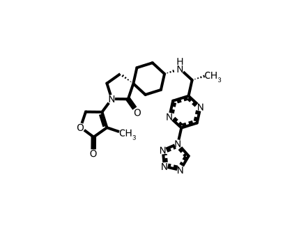 CC1=C(N2CC[C@]3(CC[C@@H](N[C@H](C)c4cnc(-n5cnnn5)cn4)CC3)C2=O)COC1=O